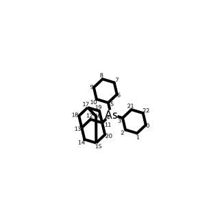 C1CCC([As](C2CCCCC2)C23CC4CC(CC(C4)C2)C3)CC1